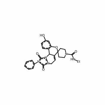 CCNC(=O)N1CCC2(CC1)Oc1cc(O)ccc1C1C2=CCn2c(=O)n(-c3ccccc3)c(=O)n21